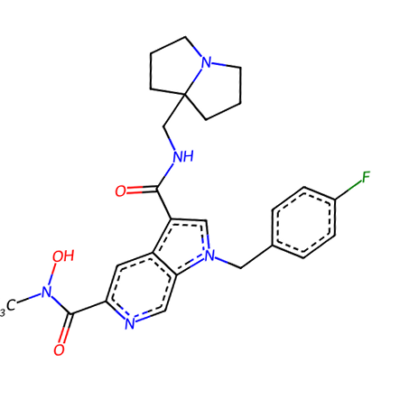 CN(O)C(=O)c1cc2c(C(=O)NCC34CCCN3CCC4)cn(Cc3ccc(F)cc3)c2cn1